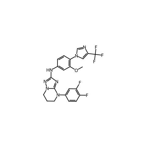 COc1cc(Nc2nc3n(n2)CCCN3c2ccc(F)c(F)c2)ccc1-n1cnc(C(F)(F)F)c1